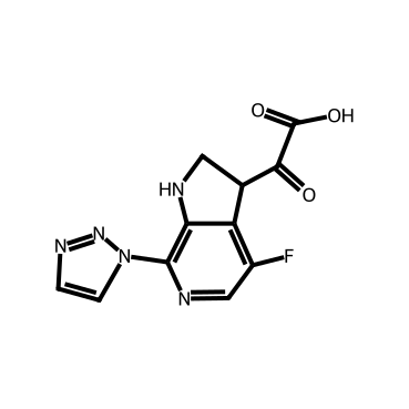 O=C(O)C(=O)C1CNc2c(-n3ccnn3)ncc(F)c21